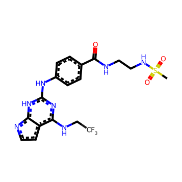 CS(=O)(=O)NCCNC(=O)c1ccc(Nc2nc(NCC(F)(F)F)c3ccnc-3[nH]2)cc1